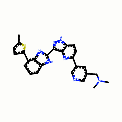 Cc1ccc(-c2cccc3[nH]c(-c4n[nH]c5ccc(-c6cncc(CN(C)C)c6)nc45)nc23)s1